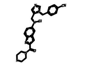 CCN(Cc1cncn1Cc1ccc(C#N)cc1)c1ccc2sc(C(=O)N3CCSCC3)cc2c1